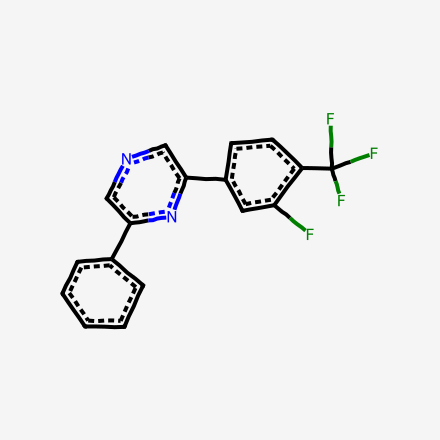 Fc1cc(-c2cncc(-c3ccccc3)n2)ccc1C(F)(F)F